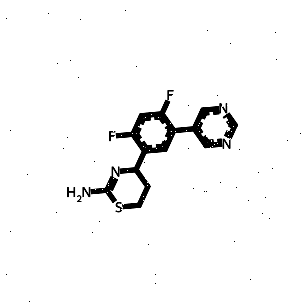 NC1=NC(c2cc(-c3cncnc3)c(F)cc2F)CCS1